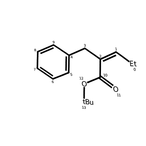 CCC=C(Cc1ccccc1)C(=O)OC(C)(C)C